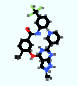 Cc1ccc(C(=O)Nc2cccc(C(F)(F)F)c2)cc1Oc1nc(-c2cccnc2)nc2nn(C)cc12